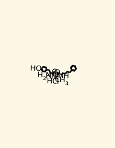 C[C@@H](NC(=O)[C@@H](N)Cc1ccc(O)cc1)C(=O)NCCCCc1ccccc1.Cl